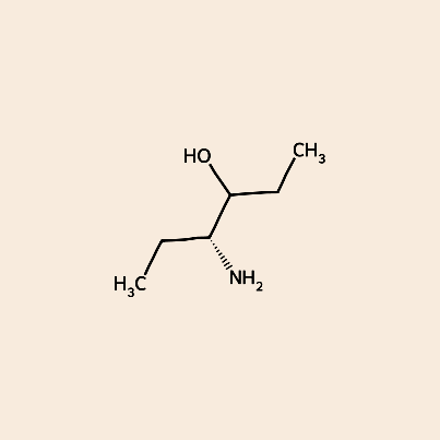 CCC(O)[C@H](N)CC